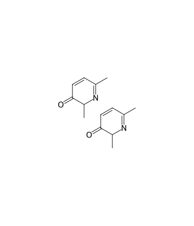 CC1=NC(C)C(=O)C=C1.CC1=NC(C)C(=O)C=C1